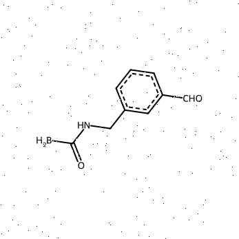 BC(=O)NCc1cccc(C=O)c1